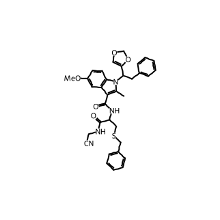 COc1ccc2c(c1)c(C(=O)NC(CSCc1ccccc1)C(=O)NCC#N)c(C)n2C(Cc1ccccc1)C1=COCO1